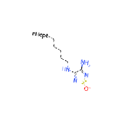 CCCCCCCCCCCCNc1n[s+]([O-])nc1N